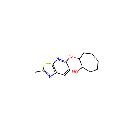 Cc1nc2ccc(OC3CCCCCC3O)nc2s1